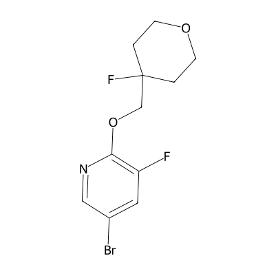 Fc1cc(Br)cnc1OCC1(F)CCOCC1